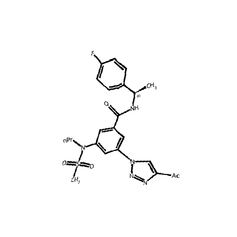 CCCN(c1cc(C(=O)N[C@H](C)c2ccc(F)cc2)cc(-n2cc(C(C)=O)nn2)c1)S(C)(=O)=O